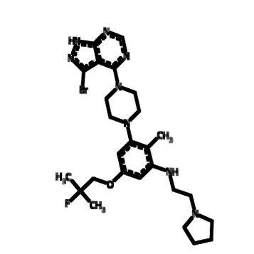 Cc1c(NCCN2CCCC2)cc(OCC(C)(C)F)cc1N1CCN(c2ncnc3[nH]nc(Br)c23)CC1